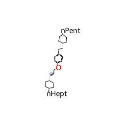 CCCCCCC[C@H]1CC[C@H](/C=C/COc2ccc(CC[C@H]3CC[C@H](CCCCC)CC3)cc2)CC1